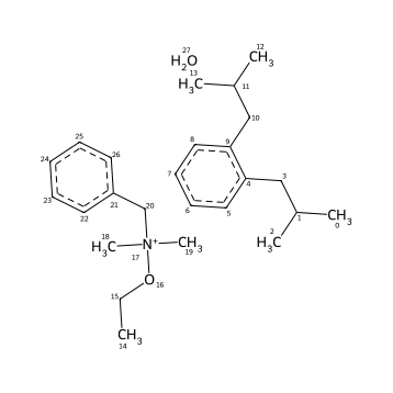 CC(C)Cc1ccccc1CC(C)C.CCO[N+](C)(C)Cc1ccccc1.O